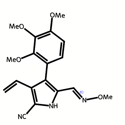 C=Cc1c(C#N)[nH]c(/C=N/OC)c1-c1ccc(OC)c(OC)c1OC